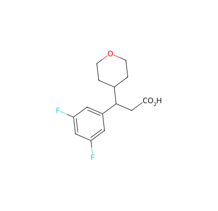 O=C(O)CC(c1cc(F)cc(F)c1)C1CCOCC1